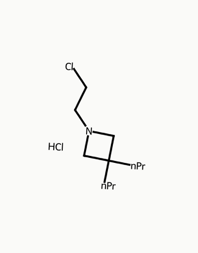 CCCC1(CCC)CN(CCCl)C1.Cl